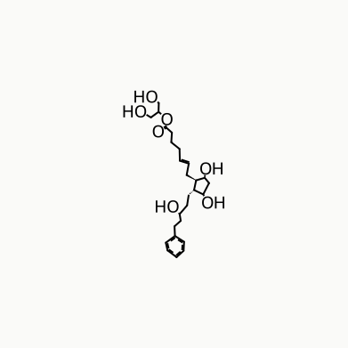 O=C(CCC/C=C/C[C@@H]1[C@@H](CC[C@@H](O)CCc2ccccc2)[C@H](O)C[C@@H]1O)OC(CO)CO